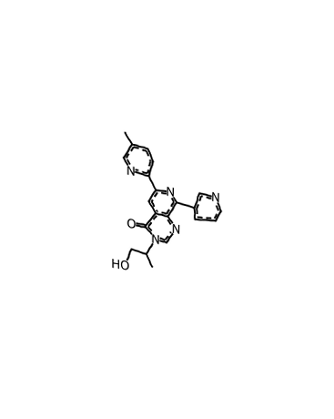 Cc1ccc(-c2cc3c(=O)n(C(C)CO)cnc3c(-c3cccnc3)n2)nc1